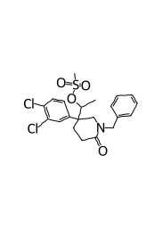 CC(OS(C)(=O)=O)C1(c2ccc(Cl)c(Cl)c2)CCC(=O)N(Cc2ccccc2)C1